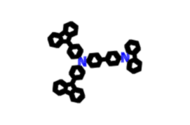 c1ccc2c(c1)-c1ccccc1C2c1ccc(N(c2ccc(-c3ccc(-n4c5ccccc5c5ccccc54)cc3)cc2)c2ccc(C3c4ccccc4-c4ccccc43)cc2)cc1